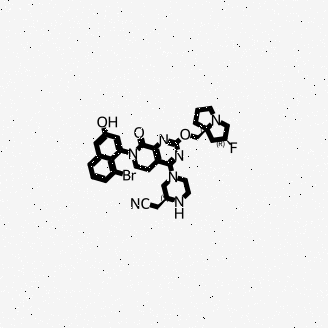 N#CC[C@H]1CN(c2nc(OC[C@@]34CCCN3C[C@H](F)C4)nc3c2CCN(c2cc(O)cc4cccc(Br)c24)C3=O)CCN1